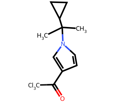 CC(C)(C1CC1)n1ccc(C(=O)C(Cl)(Cl)Cl)c1